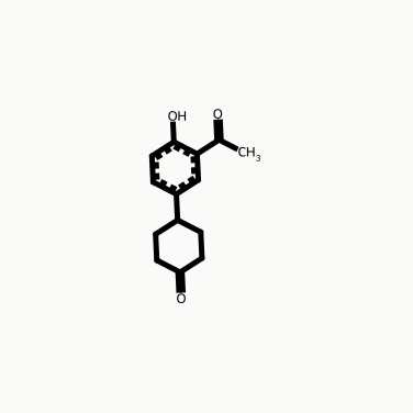 CC(=O)c1cc(C2CCC(=O)CC2)ccc1O